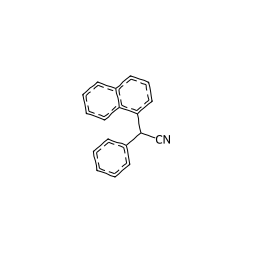 N#CC(c1ccccc1)c1cccc2ccccc12